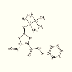 CC(C)(C)[Si](C)(C)O[C@@H]1C[C@@H](C=O)N(C(=O)OCc2ccccc2)C1